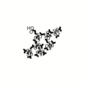 CC(C)OP(=S)(OC(C)C)SCC(C)OP(=S)(OC(C)CSP(=S)(OC(C)C)OC(C)C)SCC(C)OP(=S)(OC(C)CSP(=S)(OC(C)CSP(=S)(OC(C)C)OC(C)C)OC(C)CSP(=S)(OC(C)C)OC(C)C)SCCC(=O)O